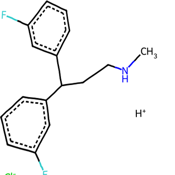 CNCCC(c1cccc(F)c1)c1cccc(F)c1.[Cl-].[H+]